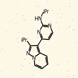 CC(C)Nc1nccc(-c2c(C(C)C)nn3ccccc23)n1